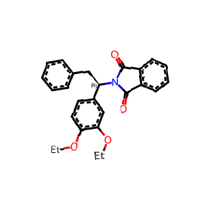 CCOc1ccc([C@@H](Cc2ccccc2)N2C(=O)c3ccccc3C2=O)cc1OCC